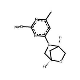 COc1nc(I)cc(N2C[C@H]3C[C@@H]2CO3)n1